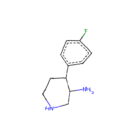 NC1CNCCC1c1ccc(F)cc1